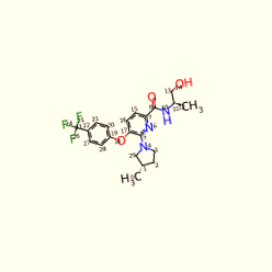 C[C@H]1CCN(c2nc(C(=O)N[C@H](C)CO)ccc2Oc2ccc(C(F)(F)F)cc2)C1